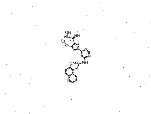 CCOc1cc(-c2cc(NCCc3c(OC)ccc4ncccc34)ncn2)sc1C(=N)NO